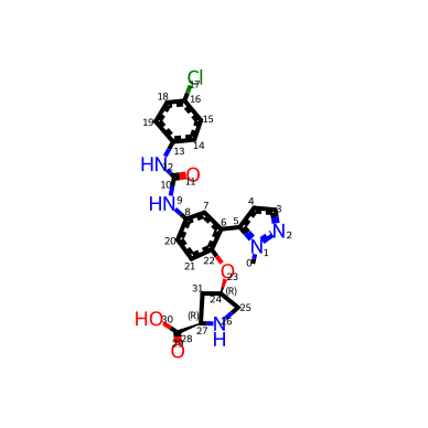 Cn1nccc1-c1cc(NC(=O)Nc2ccc(Cl)cc2)ccc1O[C@H]1CN[C@@H](C(=O)O)C1